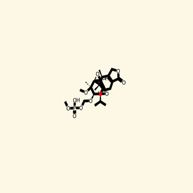 CO[C@]1(C)[C@H](OCOP(=O)(O)OC)[C@@]2(C(C)C)O[C@H]2[C@@H]2O[C@@]21[C@@]1(C)CCC2=C(COC2=O)[C@@H]1C